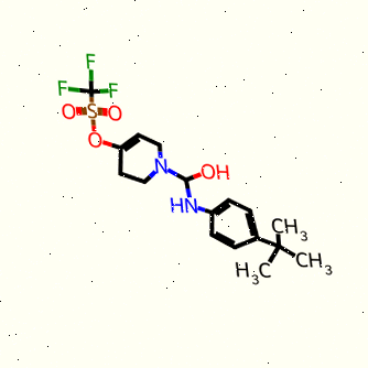 CC(C)(C)c1ccc(NC(O)N2CC=C(OS(=O)(=O)C(F)(F)F)CC2)cc1